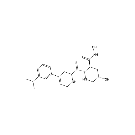 CC(C)c1cccc(C2=CCNC(C(=O)[C@H]3NC[C@@H](O)C[C@@H]3C(=O)NO)C2)c1